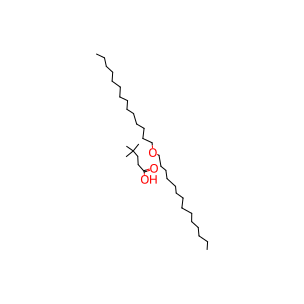 CC(C)(C)CCC(=O)O.CCCCCCCCCCCCCCOCCCCCCCCCCCCCC